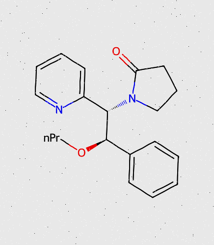 CCCO[C@H](c1ccccc1)[C@H](c1ccccn1)N1CCCC1=O